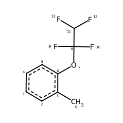 Cc1ccccc1OC(F)(F)C(F)F